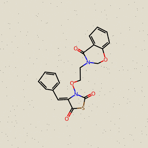 O=C1SC(=O)N(OCCN2COc3ccccc3C2=O)C1=Cc1ccccc1